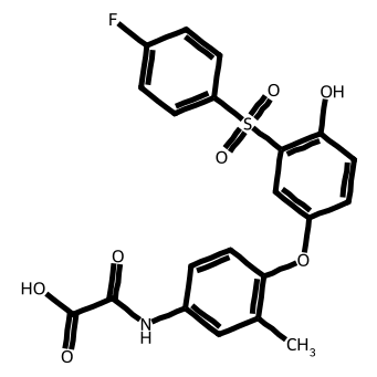 Cc1cc(NC(=O)C(=O)O)ccc1Oc1ccc(O)c(S(=O)(=O)c2ccc(F)cc2)c1